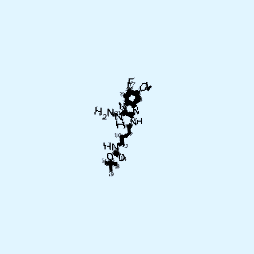 COc1cc2nc(NCCCCNC(=O)OC(C)(C)C)c(NN)nc2cc1F